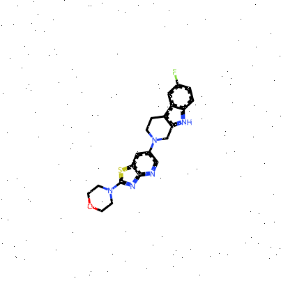 Fc1ccc2[nH]c3c(c2c1)CCN(c1cnc2nc(N4CCOCC4)sc2c1)C3